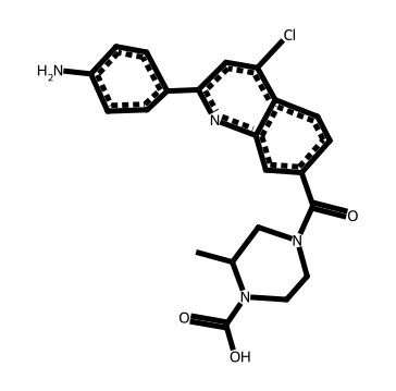 CC1CN(C(=O)c2ccc3c(Cl)cc(-c4ccc(N)cc4)nc3c2)CCN1C(=O)O